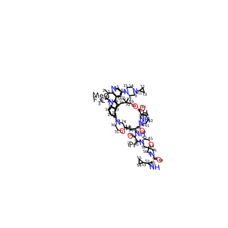 CO[C@@H](C)c1ncc(N2CCN(C3CC3)CC2)cc1-c1c2c3cc(ccc3n1CC(F)(F)F)N1CCO[C@@H](C[C@H](NC(=O)C(C(C)C)N3CCOC4(CN(C(=O)[C@@H]5NC5C5CC5)C4)C3)C(=O)N3CCC[C@H](N3)C(=O)OCC(C)(C)C2)C1